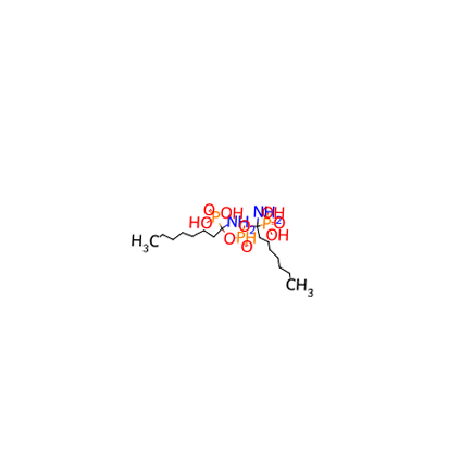 CCCCCCCC(N)(O[PH](=O)OC(N)(CCCCCCC)P(=O)(O)O)P(=O)(O)O